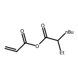 C=CC(=O)OC(=O)C(CC)CCCC